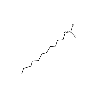 CCCCCCCCCCCO[SiH](Cl)Cl